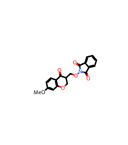 COc1ccc2c(c1)OCC(CON1C(=O)c3ccccc3C1=O)C2=O